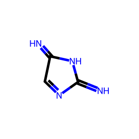 N=C1C=NC(=N)N1